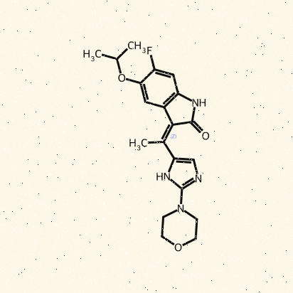 C/C(=C1/C(=O)Nc2cc(F)c(OC(C)C)cc21)c1cnc(N2CCOCC2)[nH]1